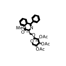 COC(=O)[C@H](CO[C@@H]1OC[C@@H](OC(C)=O)[C@H](OC(C)=O)[C@H]1OC(C)=O)N=C(c1ccccc1)c1ccccc1